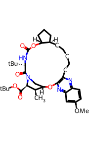 COc1ccc2nc3c(nc2c1)O[C@H]1CN(C(=O)[C@H](C(C)(C)C)NC(=O)O[C@@H]2CCC[C@H]2CCCCC3)[C@H](C(=O)OC(C)(C)C)[C@@H]1C